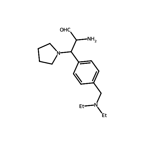 CCN(CC)Cc1ccc(C(C(N)C=O)N2CCCC2)cc1